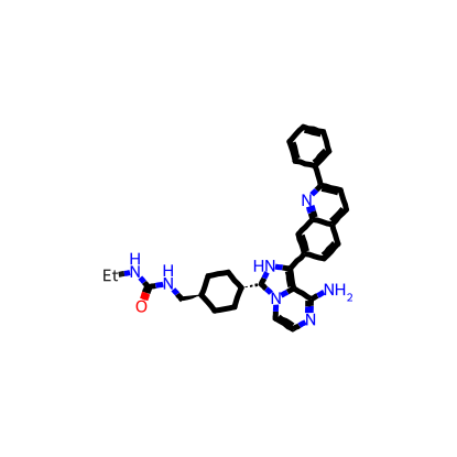 CCNC(=O)NC[C@H]1CC[C@H](C2NC(c3ccc4ccc(-c5ccccc5)nc4c3)=C3C(N)=NC=CN32)CC1